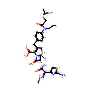 CCCN(C(=O)CSC(C)=O)c1ccc(CC2=C(C(=O)O)N3C(=O)[C@@H](NC(=O)/C(=N\OC)c4csc(N)n4)[C@H]3SC2)cc1